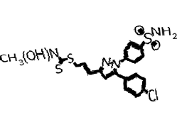 CN(O)C(=S)SCC=Cc1cc(-c2ccc(Cl)cc2)n(-c2ccc(S(N)(=O)=O)cc2)n1